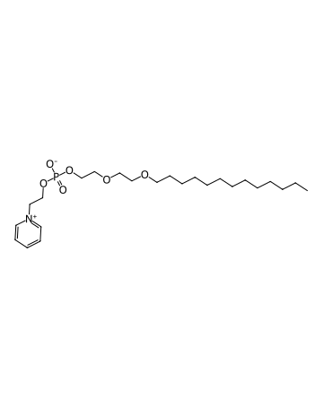 CCCCCCCCCCCCCOCCOCCOP(=O)([O-])OCC[n+]1ccccc1